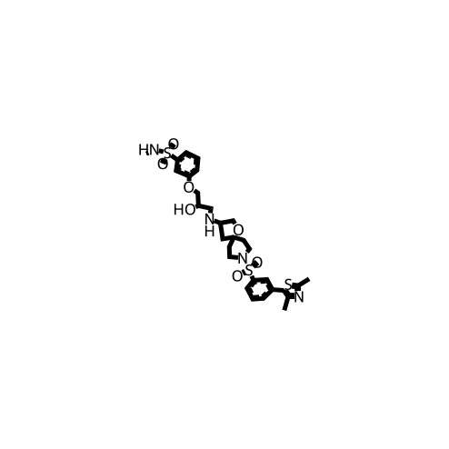 CNS(=O)(=O)c1cccc(OCC(O)CNC2COC3(CCN(S(=O)(=O)c4cccc(-c5sc(C)nc5C)c4)CC3)C2)c1